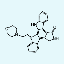 O=C1NCc2c1c1c3ccccc3[nH]c1c1c2c2ccccc2n1CCN1CCOCC1